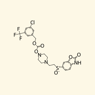 O=C(OCc1cc(Cl)cc(C(F)(F)F)c1)ON1CCN(CC[S+]([O-])c2ccc3[nH]c(=O)oc3c2)CC1